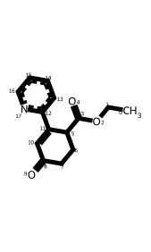 CCOC(=O)C1CCC(=O)C=C1c1ccccn1